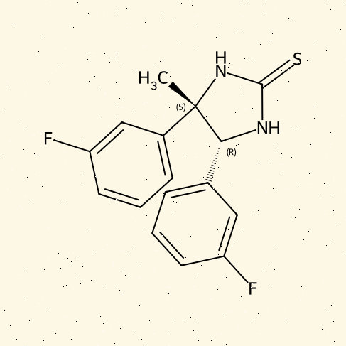 C[C@@]1(c2cccc(F)c2)NC(=S)N[C@@H]1c1cccc(F)c1